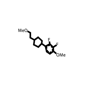 COCCC1CCC(c2ccc(OC)c(F)c2F)CC1